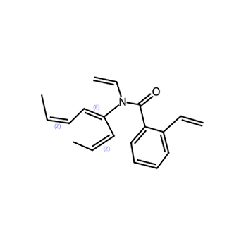 C=Cc1ccccc1C(=O)N(C=C)C(/C=C\C)=C/C=C\C